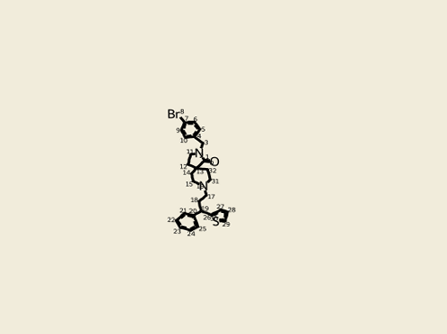 O=C1N(Cc2ccc(Br)cc2)CCC12CCN(CCC(c1ccccc1)c1cccs1)CC2